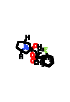 CC(C)(C)OC(=O)N1[C@@H]2CC[C@H]1C[C@@H](CC(=O)c1ccccc1F)C2